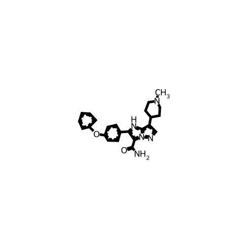 CN1CCC(c2cnn3c(C(N)=O)c(-c4ccc(Oc5ccccc5)cc4)[nH]c23)CC1